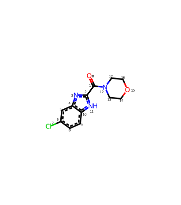 O=C(c1nc2cc(Cl)ccc2[nH]1)N1CCOCC1